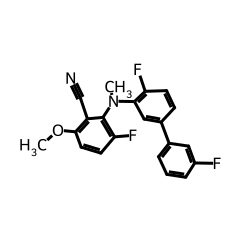 COc1ccc(F)c(N(C)c2cc(-c3cccc(F)c3)ccc2F)c1C#N